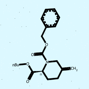 C=C1CC[C@@H](C(=O)OCCCC)N(C(=O)OCc2ccccc2)C1